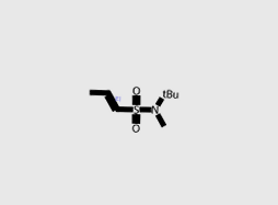 C/C=C/S(=O)(=O)N(C)C(C)(C)C